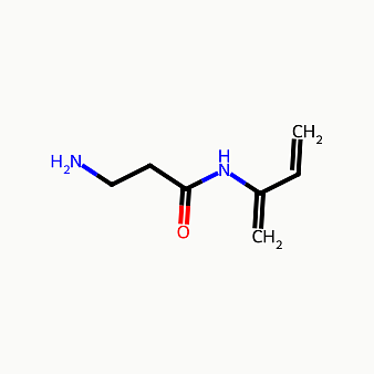 C=CC(=C)NC(=O)CCN